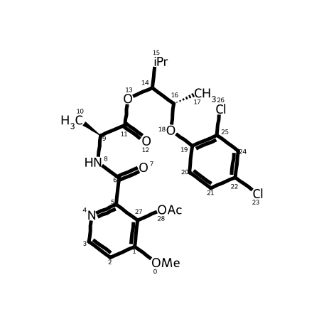 COc1ccnc(C(=O)N[C@@H](C)C(=O)OC(C(C)C)[C@H](C)Oc2ccc(Cl)cc2Cl)c1OC(C)=O